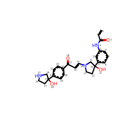 C=CC(=O)Nc1cccc(C2(O)CCN(/C=C/C(=O)c3ccc(C4(O)CCNC4)cc3)C2)c1